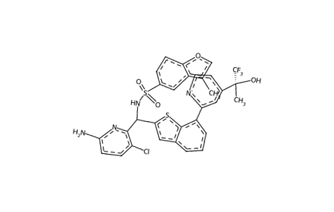 Cc1coc2ccc(S(=O)(=O)NC(c3cc4cccc(-c5cc([C@](C)(O)C(F)(F)F)ccn5)c4s3)c3nc(N)ccc3Cl)cc12